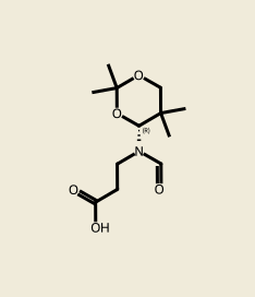 CC1(C)OCC(C)(C)[C@H](N(C=O)CCC(=O)O)O1